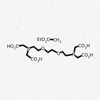 CCOC(C)=O.O=C(O)CN(CCOCCOCCN(CC(=O)O)CC(=O)O)CC(=O)O